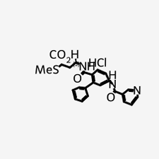 CSCC[C@H](NC(=O)c1ccc(NC(=O)c2cccnc2)cc1-c1ccccc1)C(=O)O.Cl